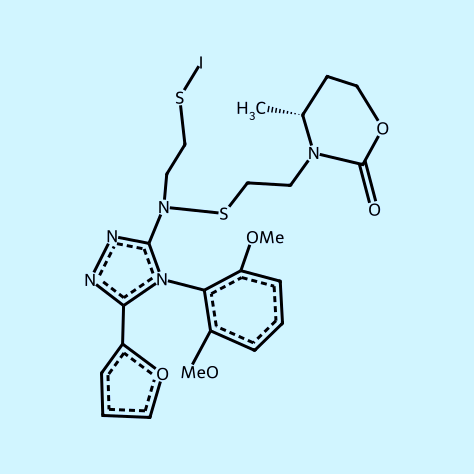 COc1cccc(OC)c1-n1c(-c2ccco2)nnc1N(CCSI)SCCN1C(=O)OCC[C@H]1C